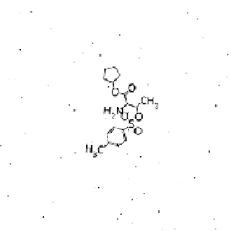 Cc1ccc(S(=O)(=O)OC(C)C(N)C(=O)OC2CCCC2)cc1